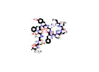 CC(C)C[C@H](NC(=O)[C@H](CC(C)C)NC(=O)[C@H](CC(C)C)NC(=O)[C@@H](N)CC(C)C)C(=O)N[C@@H](Cc1ccccc1)C(=O)N[C@@H](C)C(=O)N[C@@H](Cc1ccc(O)cc1)C(=O)N[C@@H](Cc1ccccc1)C(=O)N[C@@H](CO)C(=O)N[C@H](C(=O)N[C@@H](CS)C(=O)N[C@H](C(=O)O)[C@@H](C)O)C(C)C